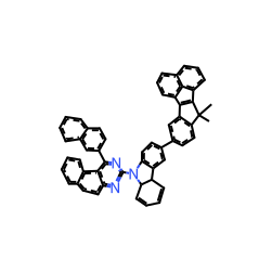 CC1(C)C2=C(c3cc(-c4ccc5c(c4)C4C=CC=CC4N5c4nc(-c5ccc6ccccc6c5)c5c(ccc6ccccc65)n4)ccc31)c1cccc3cccc2c13